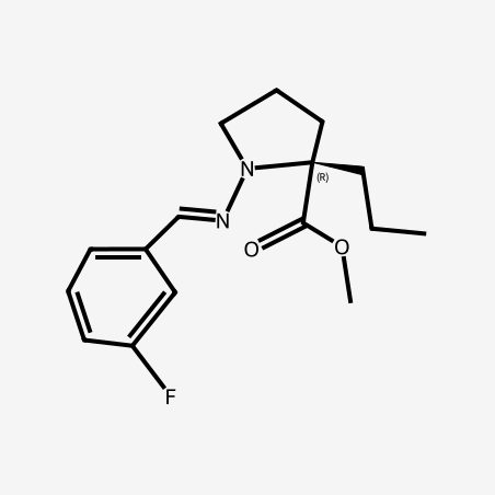 CCC[C@]1(C(=O)OC)CCCN1N=Cc1cccc(F)c1